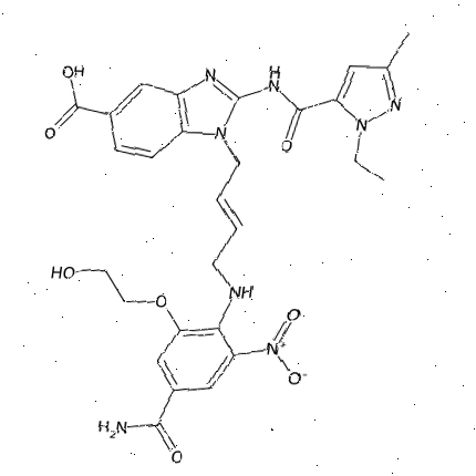 CCn1nc(C)cc1C(=O)Nc1nc2cc(C(=O)O)ccc2n1CC=CCNc1c(OCCO)cc(C(N)=O)cc1[N+](=O)[O-]